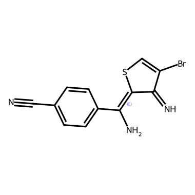 N#Cc1ccc(/C(N)=C2\SC=C(Br)C2=N)cc1